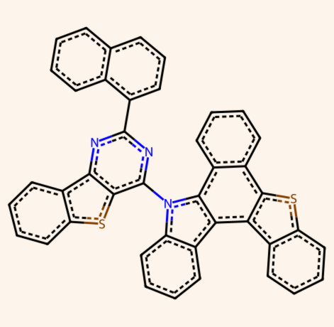 c1ccc2c(-c3nc(-n4c5ccccc5c5c6c7ccccc7sc6c6ccccc6c54)c4sc5ccccc5c4n3)cccc2c1